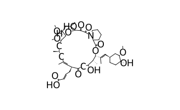 CO[C@H]1C[C@@H](C)[C@@]2(O)O[C@H]1[C@H](OC)C[C@H](C)C/C(C)=C\[C@H](C/C=C/C(=O)O)C(=O)C[C@H](O)[C@@H](C)[C@@H](/C(C)=C/[C@@H]1CC[C@@H](O)[C@H](OC)C1)OC(=O)C1CCCCN1C(=O)C2=O